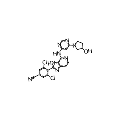 N#Cc1cc(Cl)c(-c2nc3ccnc(Nc4cc(N5CCC(O)C5)ncn4)c3[nH]2)c(Cl)c1